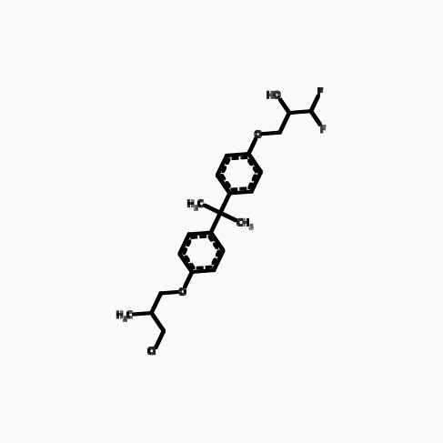 CC(CCl)COc1ccc(C(C)(C)c2ccc(OCC(O)C(F)F)cc2)cc1